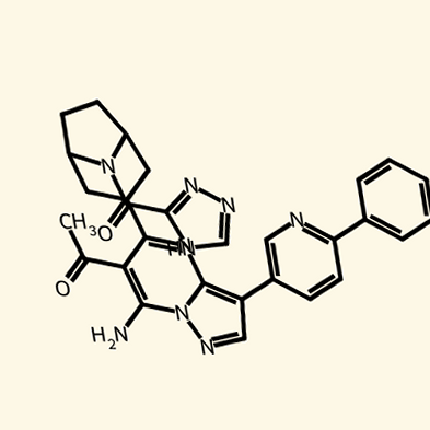 CC(=O)c1c(C2CC3CCC(C2)N3C(=O)c2nnc[nH]2)nc2c(-c3ccc(-c4ccccc4)nc3)cnn2c1N